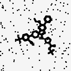 CCOc1nc(C2(C(=O)N[C@@H]3CCN(C(=O)OC(C)(C)C)C3)CCN(c3ccc(C(F)(F)F)cc3C#N)CC2)ccc1-c1cccnc1